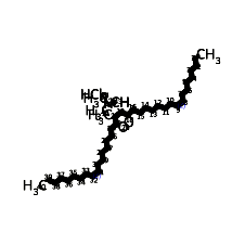 CCCCCCCC/C=C\CCCCCCCC(=O)CC(C)C(=O)CCCCCCC/C=C\CCCCCCCC.CN(C)C.Cl